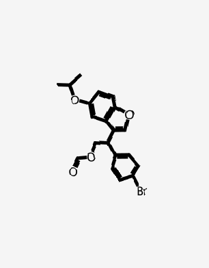 CC(C)Oc1ccc2occ(C(COC=O)c3ccc(Br)cc3)c2c1